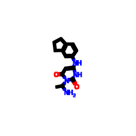 CC(N)n1c(=O)cc(Nc2ccc3c(c2)CCC3)[nH]c1=O